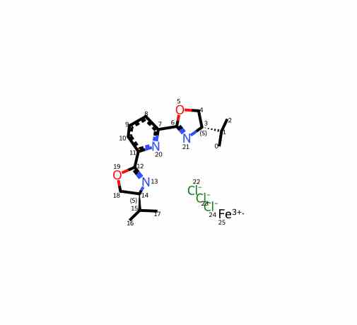 CC(C)[C@H]1COC(c2cccc(C3=N[C@@H](C(C)C)CO3)n2)=N1.[Cl-].[Cl-].[Cl-].[Fe+3]